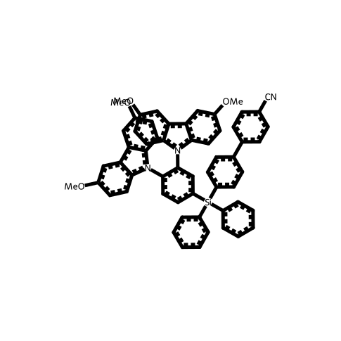 COc1ccc2c(c1)c1cc(OC)ccc1n2-c1ccc([Si](c2ccccc2)(c2ccccc2)c2ccc(-c3ccc(C#N)cc3)cc2)cc1-n1c2ccc(OC)cc2c2cc(OC)ccc21